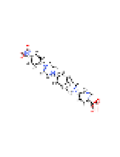 O=C(O)c1ccc(N2CCC3(CCC(N4CCN(c5ccc([N+](=O)[O-])cc5)CC4)CC3)CC2)cn1